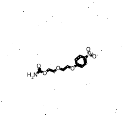 NC(=O)OCCOCCOc1ccc([N+](=O)[O-])cc1